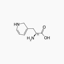 N[C@@H](CC1=CC=CNC1)C(=O)O